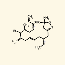 C=C/C=C\CN(C)C(CC)C(=C)CC=CC/C(=C\C)CC1=NOC(N)(C=O)C1